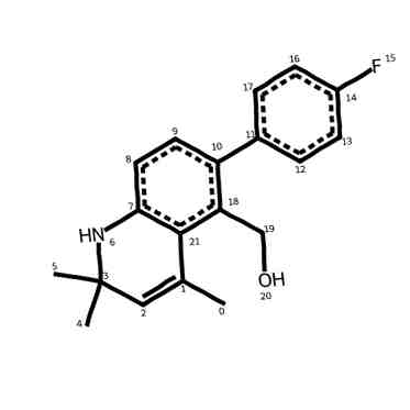 CC1=CC(C)(C)Nc2ccc(-c3ccc(F)cc3)c(CO)c21